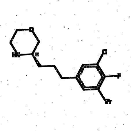 CC(C)c1cc(CCC[C@@H]2COCCN2)cc(Cl)c1F